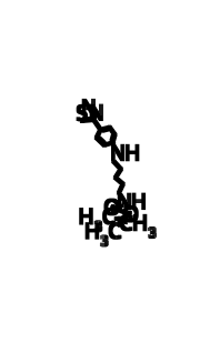 CC(C)(C)S(=O)(=O)NCCCCCNc1ccc(-c2csnn2)cc1